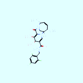 C[C@H]1C=C[C@H](C)N2C[C@H]1N1C=C(C(=O)NCc3c(F)cc(F)cc3F)C(O)C(O)=C1C2=O